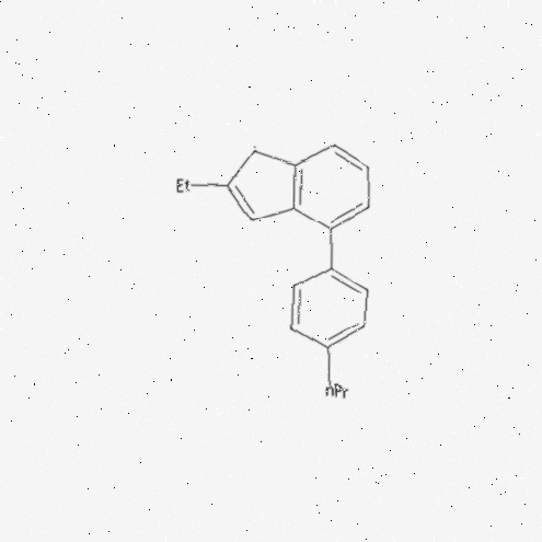 CCCc1ccc(-c2cccc3c2C=C(CC)[CH]3)cc1